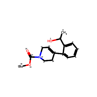 CC(O)c1ccccc1C1=CCN(C(=O)OC(C)(C)C)CC1